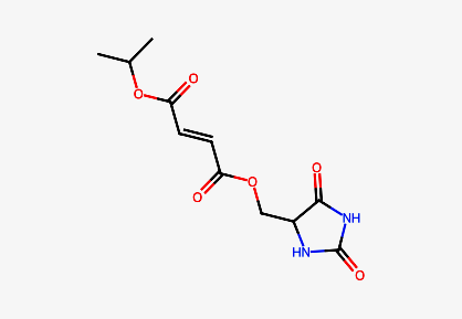 CC(C)OC(=O)/C=C/C(=O)OCC1NC(=O)NC1=O